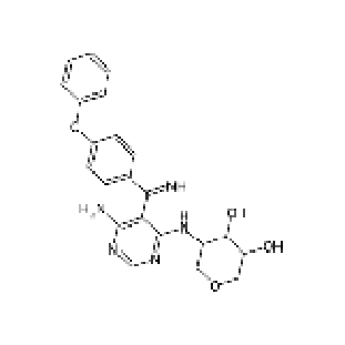 N=C(c1ccc(Oc2ccccc2)cc1)c1c(N)ncnc1NC1COCC(O)C1O